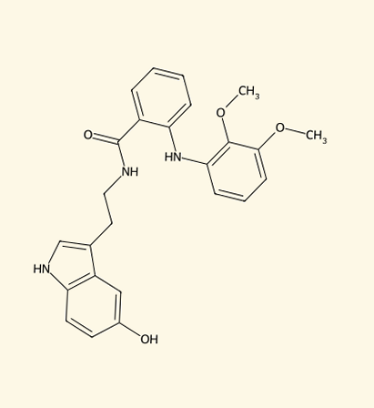 COc1cccc(Nc2ccccc2C(=O)NCCc2c[nH]c3ccc(O)cc23)c1OC